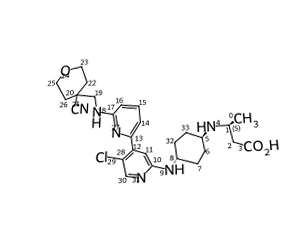 C[C@@H](CC(=O)O)N[C@H]1CC[C@H](Nc2cc(-c3cccc(NCC4(C#N)CCOCC4)n3)c(Cl)cn2)CC1